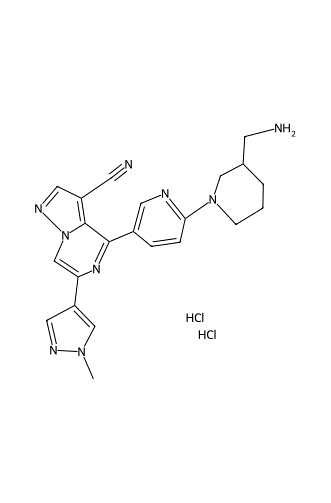 Cl.Cl.Cn1cc(-c2cn3ncc(C#N)c3c(-c3ccc(N4CCCC(CN)C4)nc3)n2)cn1